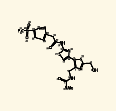 CNC(=O)NCc1nc(CO)sc1-c1csc(NC(=O)Cc2ccc(S(=O)(=O)C(F)(F)F)cc2)n1